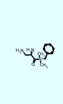 C[N+](C)(Cc1ccccc1)C(=O)C(N)CN